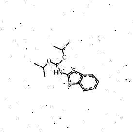 CC(C)OP(Nc1nc2ccccc2s1)OC(C)C